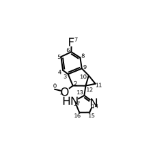 COC1c2ccc(F)cc2C2CC21C1=NCCN1